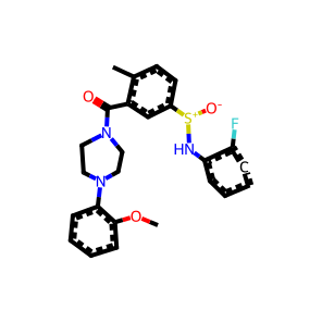 COc1ccccc1N1CCN(C(=O)c2cc([S+]([O-])Nc3ccccc3F)ccc2C)CC1